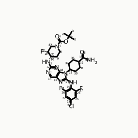 CC(C)(C)OC(=O)N1CC[C@H](Nc2ncc3nc(Nc4c(F)cc(Cl)cc4F)n(C4CCC(C(N)=O)CC4)c3n2)[C@H](F)C1